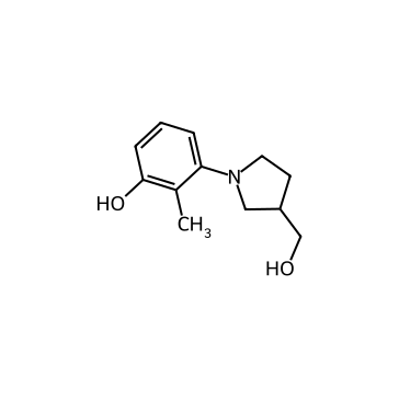 Cc1c(O)cccc1N1CCC(CO)C1